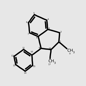 CC1Cc2ccccc2C(c2ccccc2)C1C